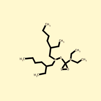 CCCCC(CC)CP(CC(CC)CCCC)SC1(N(CC)CC)OS1